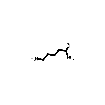 [3H]C(N)CCCCN